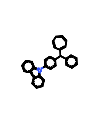 C1=CC=CC(C(c2ccccc2)c2ccc(-n3c4ccccc4c4ccccc43)cc2)=CC=1